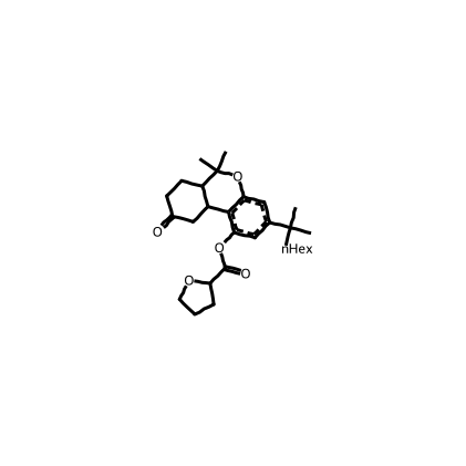 CCCCCCC(C)(C)c1cc(OC(=O)C2CCCO2)c2c(c1)OC(C)(C)C1CCC(=O)CC21